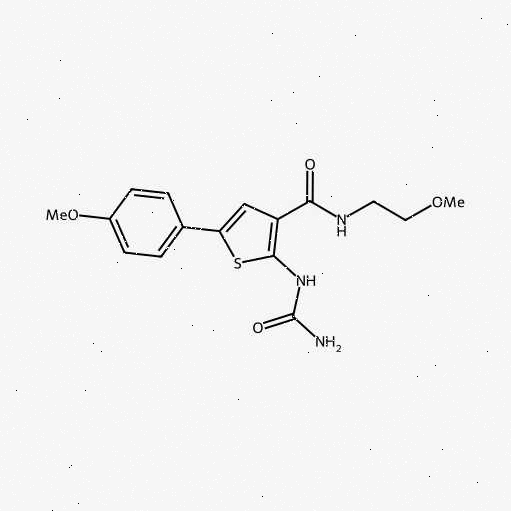 COCCNC(=O)c1cc(-c2ccc(OC)cc2)sc1NC(N)=O